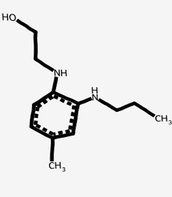 CCCNc1cc(C)ccc1NCCO